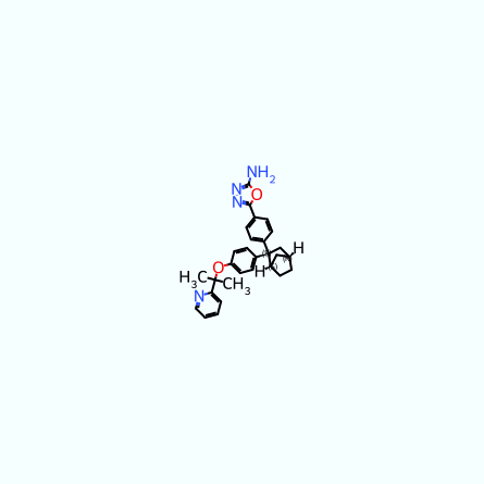 CC(C)(Oc1ccc([C@@]2(c3ccc(-c4nnc(N)o4)cc3)C[C@@H]3CC[C@H]2C3)cc1)c1ccccn1